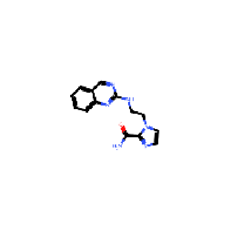 NC(=O)c1n[c]cn1CCNc1ncc2ccccc2n1